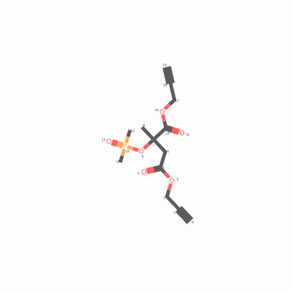 C#CCOC(=O)CC(C)(OP(C)(C)=O)C(=O)OCC#C